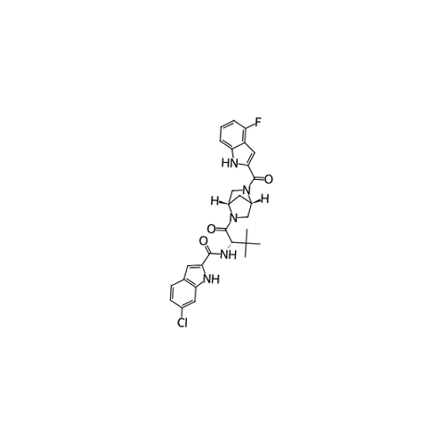 CC(C)(C)[C@H](NC(=O)c1cc2ccc(Cl)cc2[nH]1)C(=O)N1C[C@@H]2C[C@H]1CN2C(=O)c1cc2c(F)cccc2[nH]1